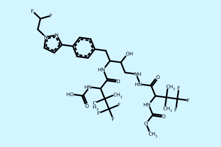 COC(=O)NC(C(=O)NNCC(O)C(Cc1ccc(-c2ccn(CC(F)F)n2)cc1)NC(=O)C(NC(=O)O)C(C)(C)C(F)(F)F)C(C)(C)C(F)(F)F